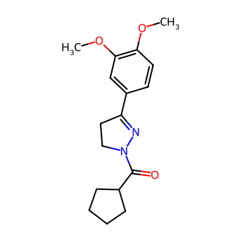 COc1ccc(C2=NN(C(=O)C3CCCC3)CC2)cc1OC